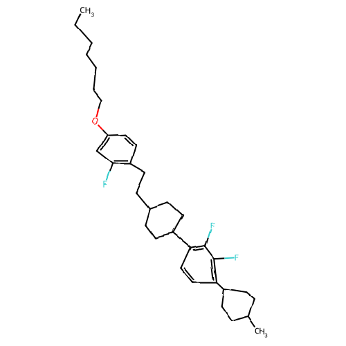 CCCCCCCOc1ccc(CCC2CCC(c3ccc(C4CCC(C)CC4)c(F)c3F)CC2)c(F)c1